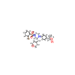 C[C@](O)(c1ccc(N2CCN(S(=O)(=O)C3=CC=CCC3=S)C[C@H]2CC2CCOCC2)cc1)C(F)(F)F